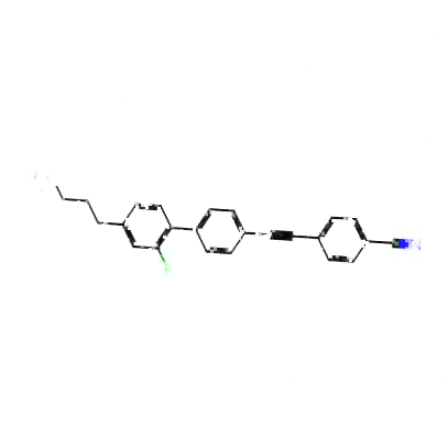 CCCCc1ccc(-c2ccc(C#Cc3ccc(C#N)cc3)cc2)c(F)c1